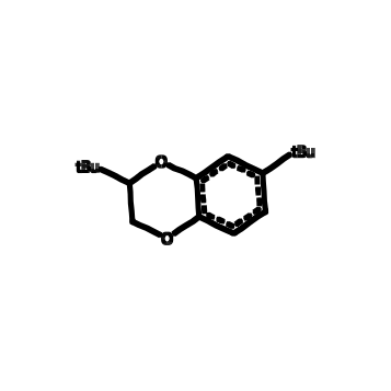 CC(C)(C)c1ccc2c(c1)OC(C(C)(C)C)CO2